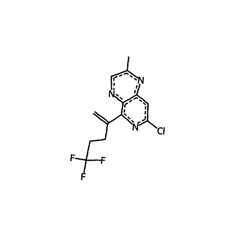 C=C(CCC(F)(F)F)c1nc(Cl)cc2nc(C)cnc12